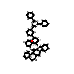 c1ccc(-c2nc(-c3ccccc3)nc(-c3cccc(-c4ccc(-n5c6ccccc6c6cc7c8c9c(cccc9n(-c9ccccc9)c8c65)CC7)cc4)c3)n2)cc1